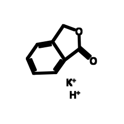 O=C1OCc2ccccc21.[H+].[K+]